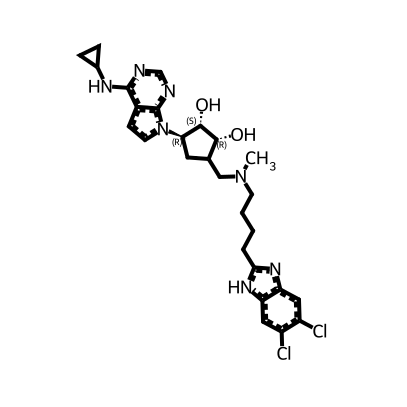 CN(CCCCc1nc2cc(Cl)c(Cl)cc2[nH]1)CC1C[C@@H](n2ccc3c(NC4CC4)ncnc32)[C@H](O)[C@@H]1O